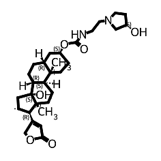 C[C@]12CC[C@H](OC(=O)NCCN3CC[C@H](O)C3)C[C@H]1CC[C@@H]1[C@@H]2CC[C@]2(C)[C@@H](C3=CC(=O)OC3)[CH]C[C@]12O